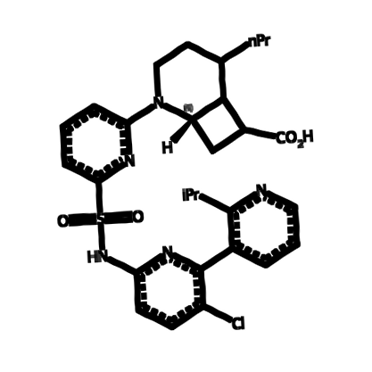 CCCC1CCN(c2cccc(S(=O)(=O)Nc3ccc(Cl)c(-c4cccnc4C(C)C)n3)n2)[C@H]2CC(C(=O)O)C12